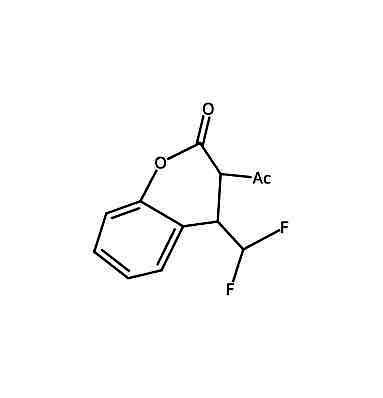 CC(=O)C1C(=O)Oc2ccccc2C1C(F)F